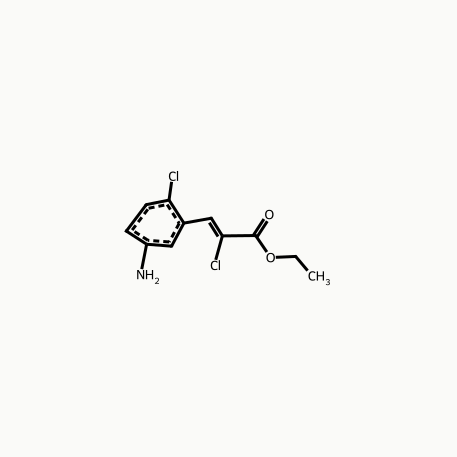 CCOC(=O)C(Cl)=Cc1cc(N)ccc1Cl